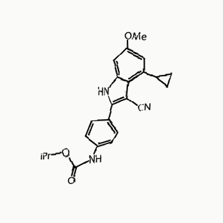 COc1cc(C2CC2)c2c(C#N)c(-c3ccc(NC(=O)OC(C)C)cc3)[nH]c2c1